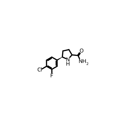 NC(=O)C1CC[C@H](c2ccc(Cl)c(F)c2)N1